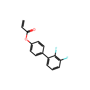 C=CC(=O)Oc1ccc(-c2cccc(F)c2F)cc1